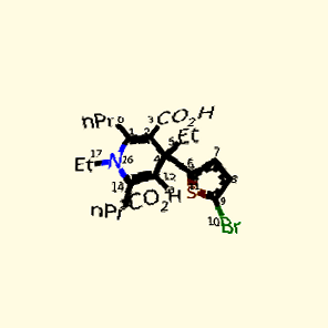 CCCC1=C(C(=O)O)C(CC)(c2ccc(Br)s2)C(C(=O)O)=C(CCC)N1CC